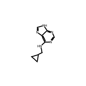 c1nc(NCC2CC2)c2nc[nH]c2n1